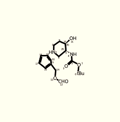 CC(C)(C)OC(=O)N[C@@H]1CNCC[C@H]1O.O=COCc1ccccc1